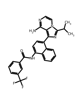 CC(C)c1nc(-c2ccc(NC(=O)c3cccc(C(F)(F)F)c3)c3ccccc23)c2c(N)nccn12